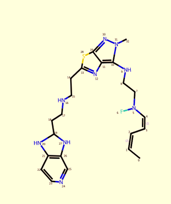 C/C=C\C=C/N(F)CCNc1c2nc(CCNCCC3Nc4ccncc4N3)sc2nn1C